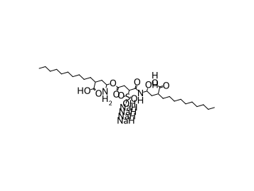 CCCCCCCCCCC(CC(O)NC(=O)C(CC(=O)OC(N)CC(CCCCCCCCCC)C(=O)O)S(=O)(=O)O)C(=O)O.[NaH].[NaH].[NaH].[NaH]